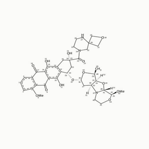 COc1cccc2c1C(=O)c1c(O)c3c(c(O)c1C2=O)C[C@@](O)(C(=O)N1CCNC2(COC2)C1)C[C@@H]3O[C@H]1C[C@H]2[C@H](O[C@@H]3[C@@H](OC)OCCN32)[C@H](C)O1